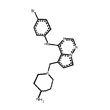 NC1CCN(Cc2ccn3ncnc(Nc4ccc(Br)cc4)c23)CC1